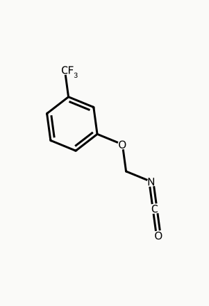 O=C=NCOc1cccc(C(F)(F)F)c1